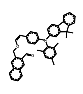 Cc1cc(C)c(N(c2ccc(/C=C\OCc3cc4ccccc4cc3C=O)cc2)c2ccc3c(c2)C(C)(C)c2ccccc2-3)c(C)c1